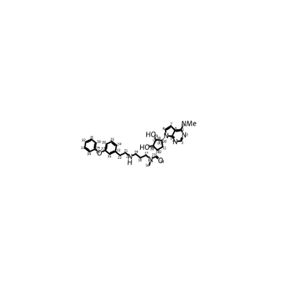 CNc1ncnc2c1ccn2[C@@H]1C[C@H](C(=O)N(C)CCCNCCc2cccc(Oc3ccccc3)c2)[C@@H](O)[C@H]1O